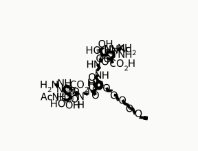 C#CCOCCOCCOCCOCCOc1cc(C(=O)NCCNC(=O)O[C@@H]([C@@H]2OC(C(=O)O)=C[C@H](NC(=N)N)[C@H]2NC(C)=O)[C@H](O)CO)cc(C(=O)NCCNC(=O)O[C@@H]([C@@H]2OC(C(=O)O)=C[C@H](NC(=N)N)[C@H]2NC(C)=O)[C@H](O)CO)c1